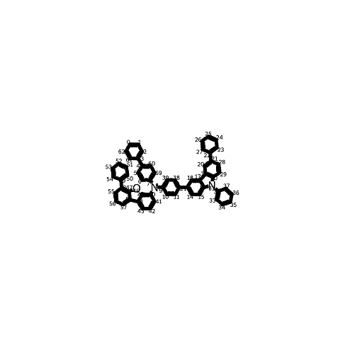 c1ccc(-c2ccc(N(c3ccc(-c4ccc5c(c4)c4cc(-c6ccccc6)ccc4n5-c4ccccc4)cc3)c3cccc4c3oc3c(-c5ccccc5)cccc34)cc2)cc1